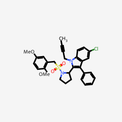 CC#CCn1c(C2CCCN2S(=O)(=O)Cc2cc(OC)ccc2OC)c(-c2ccccc2)c2cc(Cl)ccc21